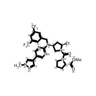 CC[C@@H]1C[C@H](N(Cc2cc(C(F)(F)F)cc(C(F)(F)F)c2)c2ncc(-c3cnn(C)c3)cn2)CN1C(=O)N1CCC[C@H]1C(=O)OC